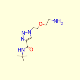 CC(C)(C)NC(=O)c1cn(CCOCCN)nn1